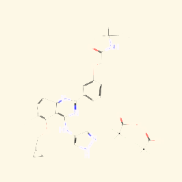 Cc1ccc2nc(-c3cccc(OCC(=O)NC(C)(C)C)c3)nc(Nc3cn[nH]c3)c2c1OCC1CC1.O=C(O)C(F)(F)F.O=C(O)C(F)(F)F